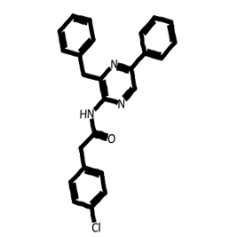 O=C(Cc1ccc(Cl)cc1)Nc1ncc(-c2ccccc2)nc1Cc1ccccc1